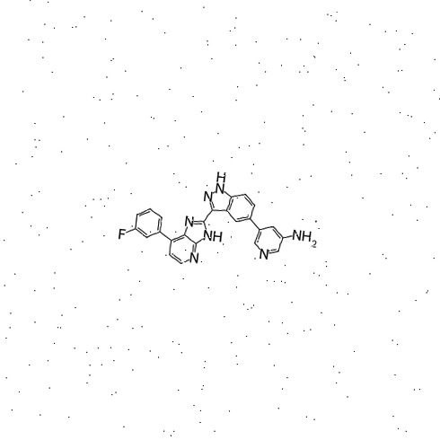 Nc1cncc(-c2ccc3[nH]nc(-c4nc5c(-c6cccc(F)c6)ccnc5[nH]4)c3c2)c1